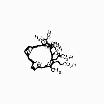 CC1=C(CCC(=O)O)C2(CCC(=O)O)N=C1/C=c1/cc/c([nH]1)=C/C1=NC(=C\C3(C)NC(C(C)O)(C(C)=C3C(C)O)C2C)/C=C1